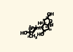 CCCCCC(C)(O)/C=C/[C@@H]1[C@H]2CC(O)O[C@H]2C[C@H]1O